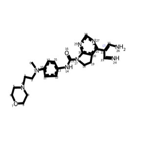 CN(CCN1CCOCC1)c1ccc(NC(=O)N2CCc3c(/C(C=N)=C/N)ncnc32)cc1